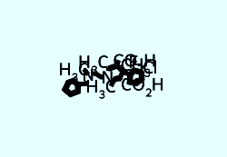 CC1=C(C(=O)O)C(C)(c2cccc(Cl)c2F)C(C(=O)O)=C(C)N1CCN(C)Cc1ccccc1